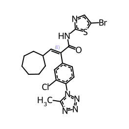 Cc1nnnn1-c1ccc(/C(=C\C2CCCCCC2)C(=O)Nc2ncc(Br)s2)cc1Cl